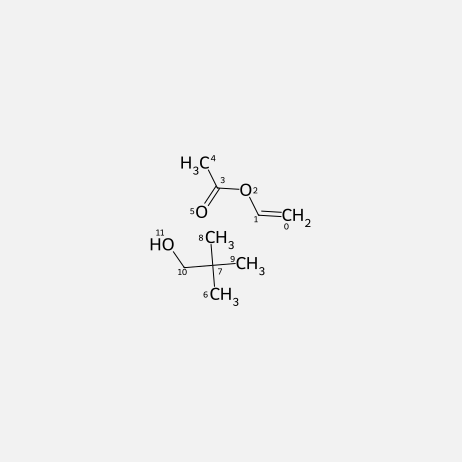 C=COC(C)=O.CC(C)(C)CO